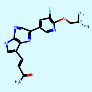 C[C@H](C#N)COc1ncc(-c2cnc3[nH]cc(C=CC(N)=O)c3n2)cc1F